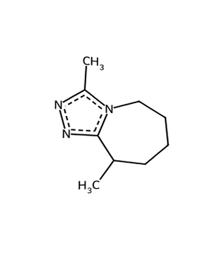 Cc1nnc2n1CCCCC2C